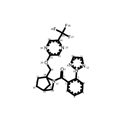 O=C(c1ccccc1-n1nccn1)N1CC2CCC1(COc1cnc(C(F)(F)F)cn1)C2